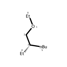 [CH2]COC[C@@H](CC)CCCC